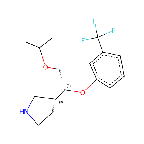 CC(C)OC[C@H](Oc1cccc(C(F)(F)F)c1)[C@@H]1CCNC1